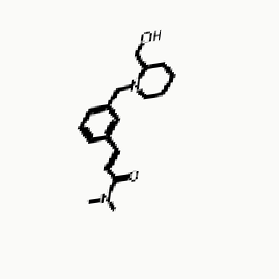 CN(C)C(=O)C=Cc1cccc(CN2CCCCC2CO)c1